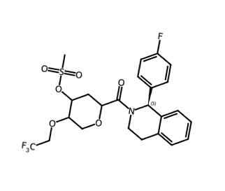 CS(=O)(=O)OC1CC(C(=O)N2CCc3ccccc3[C@@H]2c2ccc(F)cc2)OCC1OCC(F)(F)F